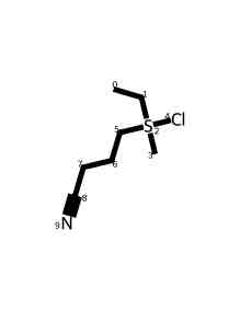 CCS(C)(Cl)CCCC#N